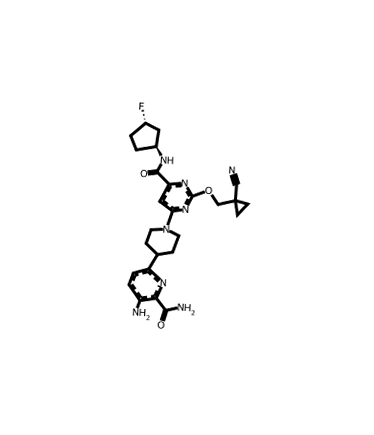 N#CC1(COc2nc(C(=O)N[C@H]3CC[C@H](F)C3)cc(N3CCC(c4ccc(N)c(C(N)=O)n4)CC3)n2)CC1